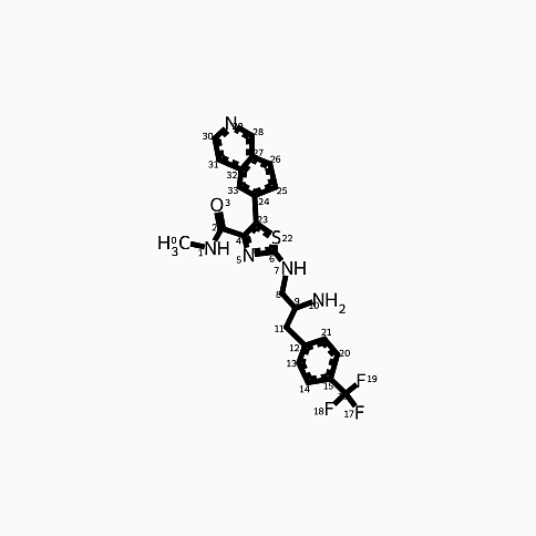 CNC(=O)c1nc(NCC(N)Cc2ccc(C(F)(F)F)cc2)sc1-c1ccc2cnccc2c1